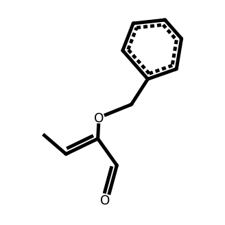 C/C=C(/C=O)OCc1ccccc1